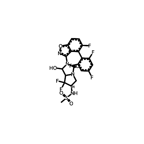 CS(=O)(=O)N[C@@H]1CN2C(=O)N(c3noc4ccc(F)c(-c5c(F)cc(F)cc5F)c34)C(O)C2C1(F)F